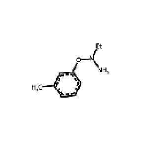 CCN(N)Oc1cccc(C)c1